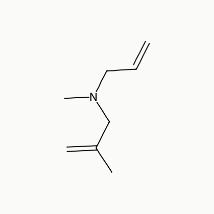 C=CCN(C)CC(=C)C